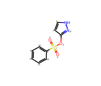 O=S(=O)(Oc1cc[nH]n1)c1ccccc1